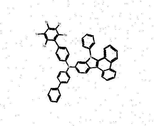 [2H]c1c([2H])c([2H])c(-c2ccc(N(c3ccc(-c4ccccc4)cc3)c3ccc4c5c6ccccc6c6ccccc6c5n(-c5ccccc5)c4c3)cc2)c([2H])c1[2H]